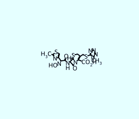 Cc1nc(C(=NO)C(=O)NC2C(=O)N3C(C(=O)O)=C(CSc4nnnn4C)CS[C@@H]23)cs1